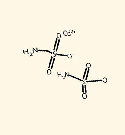 NS(=O)(=O)[O-].NS(=O)(=O)[O-].[Cd+2]